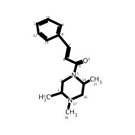 CC1CN(C(=O)C=Cc2ccccc2)C(C)CN1C